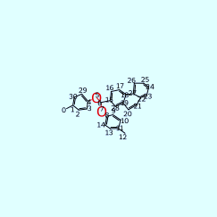 Cc1ccc(OC(Oc2ccc(C)cc2)c2ccc3c(ccc4ccccc43)c2)cc1